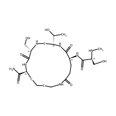 CN[C@@H](CO)C(=O)N[C@H]1CCC(=O)NCCCC[C@@H](C(N)=O)NC(=O)[C@H](CO)NC[C@H](C(C)O)NC1=O